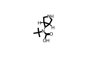 CC(C)(C)N(C(=O)O)[C@@H]1[C@@H]2CNC[C@@H]21